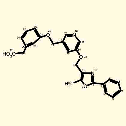 Cc1oc(-c2ccccc2)nc1COc1cncc(COc2cccc(CC(=O)O)c2)c1